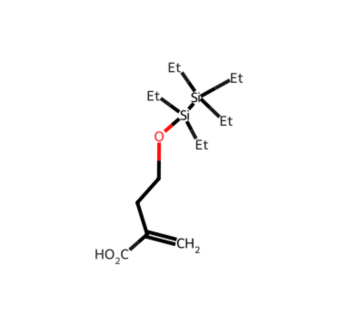 C=C(CCO[Si](CC)(CC)[Si](CC)(CC)CC)C(=O)O